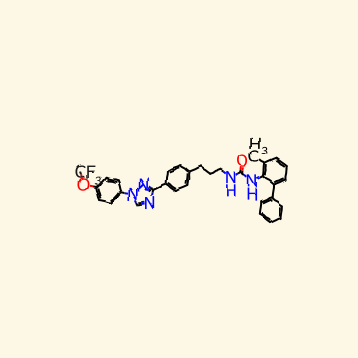 Cc1cccc(-c2ccccc2)c1NC(=O)NCCCc1ccc(-c2ncn(-c3ccc(OC(F)(F)F)cc3)n2)cc1